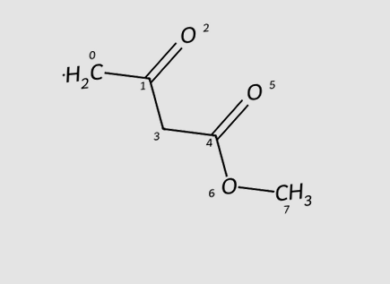 [CH2]C(=O)CC(=O)OC